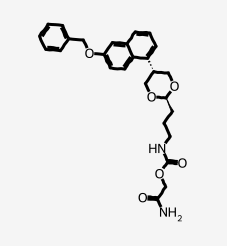 NC(=O)COC(=O)NCCC[C@H]1OC[C@H](c2cccc3cc(OCc4ccccc4)ccc32)CO1